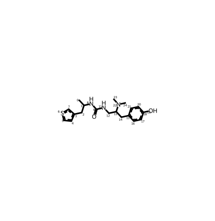 CC(Cc1ccsc1)NC(=O)NCC(Cc1ccc(O)cc1)N(C)C